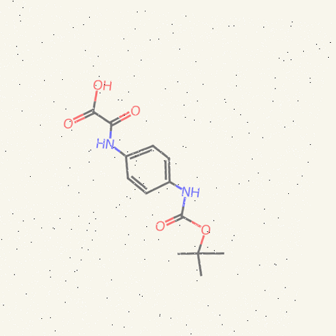 CC(C)(C)OC(=O)Nc1ccc(NC(=O)C(=O)O)cc1